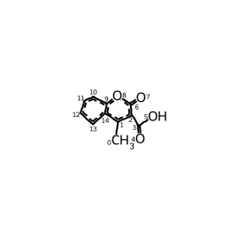 Cc1c(C(=O)O)c(=O)oc2ccccc12